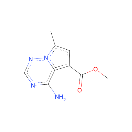 COC(=O)c1cc(C)n2ncnc(N)c12